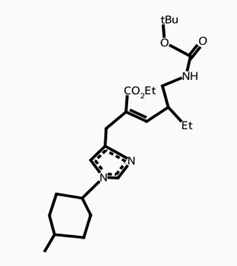 CCOC(=O)C(=CC(CC)CNC(=O)OC(C)(C)C)Cc1cn(C2CCC(C)CC2)cn1